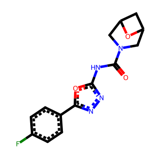 O=C(Nc1nnc(-c2ccc(F)cc2)o1)N1CC2CC(C1)O2